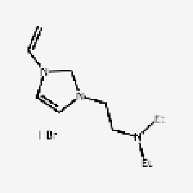 Br.C=CN1C=CN(CCN(CC)CC)C1